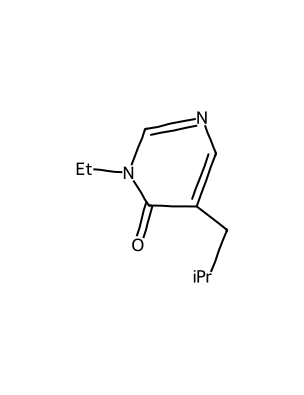 CCn1cncc(CC(C)C)c1=O